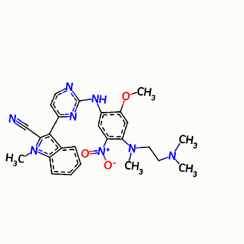 COc1cc(N(C)CCN(C)C)c([N+](=O)[O-])cc1Nc1nccc(-c2c(C#N)n(C)c3ccccc23)n1